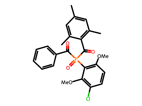 COc1ccc(Cl)c(OC)c1P(=O)(C(=O)c1ccccc1)C(=O)c1c(C)cc(C)cc1C